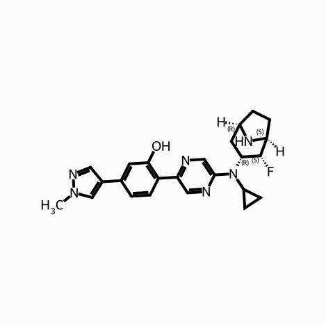 Cn1cc(-c2ccc(-c3cnc(N(C4CC4)[C@@H]4C[C@H]5CC[C@H](N5)[C@@H]4F)cn3)c(O)c2)cn1